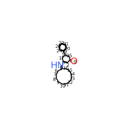 O=C1C=C(NC2CCCCCCCCCCC2)CC(c2ccccc2)C1